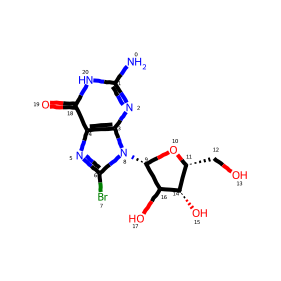 Nc1nc2c(nc(Br)n2[C@@H]2O[C@H](CO)[C@H](O)C2O)c(=O)[nH]1